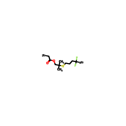 CCCC(F)(F)CCCSC(C)(C)COC(=O)CC(C)C